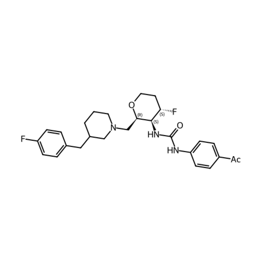 CC(=O)c1ccc(NC(=O)N[C@@H]2[C@@H](F)CCO[C@@H]2CN2CCCC(Cc3ccc(F)cc3)C2)cc1